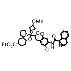 CCOC(=O)[C@H]1CC[C@H](OC(C(=O)Cc2cc(Cl)c(NC(=O)c3nccc4ccccc34)cc2Cl)(N2CCCC2)N2CC(OC)C2)CC1